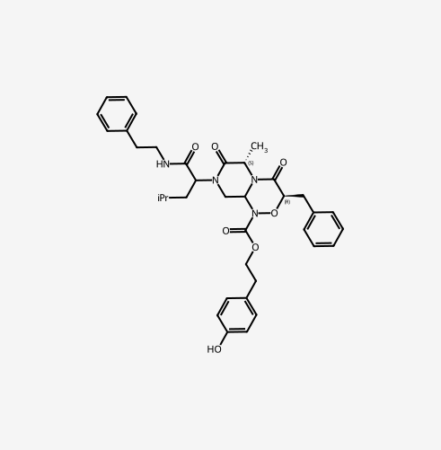 CC(C)CC(C(=O)NCCc1ccccc1)N1CC2N(C(=O)OCCc3ccc(O)cc3)O[C@H](Cc3ccccc3)C(=O)N2[C@@H](C)C1=O